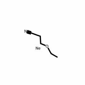 CCOCCC#N.[Ne]